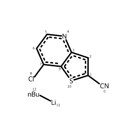 N#Cc1cc2nccc(Cl)c2s1.[Li][CH2]CCC